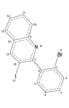 Brc1ccccc1-c1nc2ccccc2cc1I